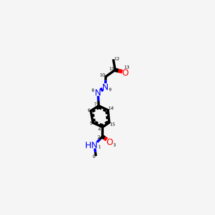 CNC(=O)c1ccc(N=NCC(C)=O)cc1